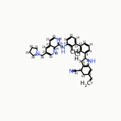 C=CC1=CC2=C(CC(c3cccc(-c4cccc(Nc5nccc6cc(CN7CCCC7)cnc56)c4C)c3C)N2)C(C#N)C1